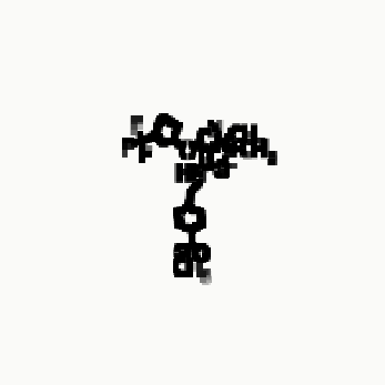 COC(=O)c1ccc(CCNC(=O)c2c(Oc3cccc(C(F)(F)F)c3)cnn2C(C)(C)C)cc1